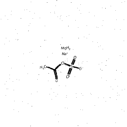 CC(=O)OS(=O)(=O)[O-].[MgH2].[Na+]